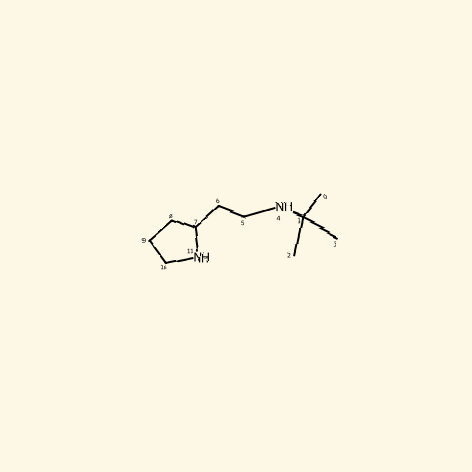 CC(C)(C)NCCC1CCCN1